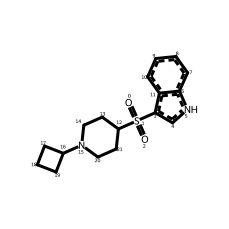 O=S(=O)(c1c[nH]c2ccccc12)C1CCN(C2CCC2)CC1